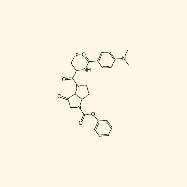 CC(C)CC(NC(=O)c1ccc(N(C)C)cc1)C(=O)N1CCC2C1C(=O)CN2C(=O)Oc1ccccc1